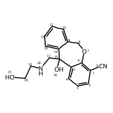 N#Cc1cccc2c1OCc1ccccc1C2(O)CNCCO